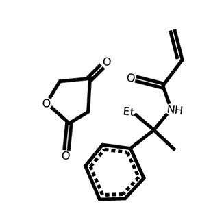 C=CC(=O)NC(C)(CC)c1ccccc1.O=C1COC(=O)C1